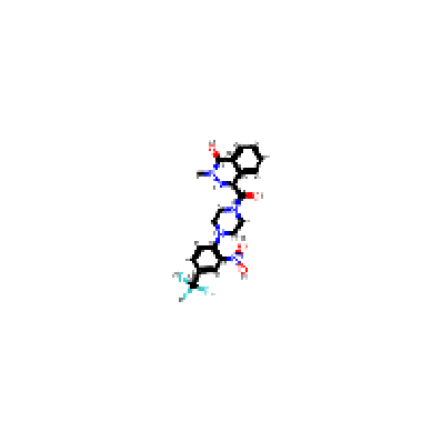 Cn1nc(C(=O)N2CCN(c3ccc(C(F)(F)F)cc3[N+](=O)[O-])CC2)c2ccccc2c1=O